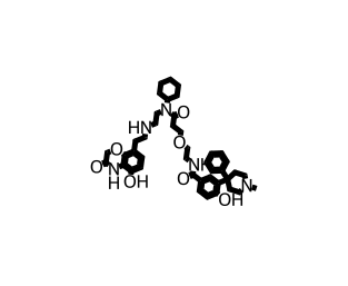 CN1CCC(c2ccccc2)(c2cc(C(=O)NCCOCCC(=O)N(CCNCCc3ccc(O)c4c3OCC(=O)N4)C3CCCCC3)ccc2O)CC1